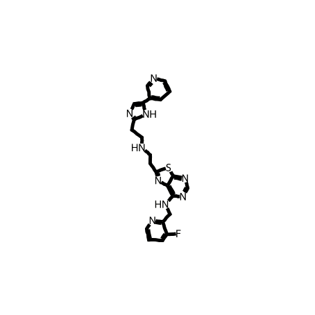 Fc1cccnc1CNc1ncnc2sc(CCNCCc3ncc(-c4cccnc4)[nH]3)nc12